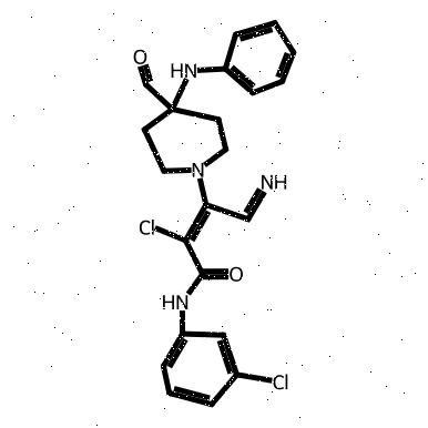 N=C/C(=C(/Cl)C(=O)Nc1cccc(Cl)c1)N1CCC(C=O)(Nc2ccccc2)CC1